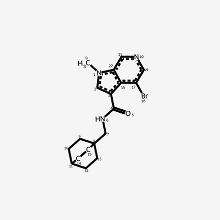 Cn1cc(C(=O)NCC23CCC(CC2)CC3)c2c(Br)cncc21